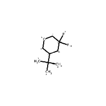 CC(C)(C)C1COCC(F)(F)C1